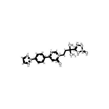 CC(C)(CCn1cnc(-c2ccc(-n3nccn3)cc2)cc1=O)C1=NOS(=O)O1